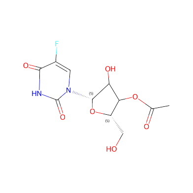 CC(=O)OC1C(O)[C@@H](n2cc(F)c(=O)[nH]c2=O)O[C@H]1CO